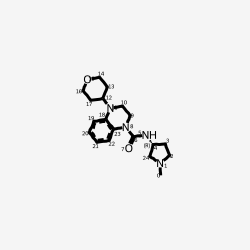 CN1CC[C@@H](NC(=O)N2CCN(C3CCOCC3)c3ccccc32)C1